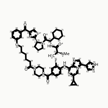 CN[C@@H](C)C(=O)N[C@H](C(=O)N1CCC[C@H]1c1nc(C(=O)c2cccc(OCCCCCC(=O)N3CCN(C(=O)c4ccc(Nc5nc(C6CC6)cn6c(-c7cn[nH]c7)cnc56)c(F)c4)CC3)c2)cs1)C1CCCCC1